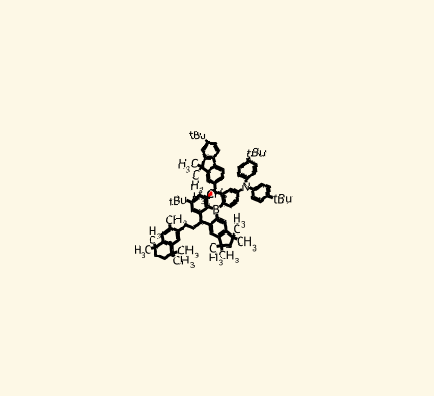 Cc1cc2c(cc1CCC1c3cc4c(cc3B(c3ccc(N(c5ccc(C(C)(C)C)cc5)c5ccc(C(C)(C)C)cc5)cc3C(C)c3ccc5c(c3)C(C)(C)c3cc(C(C)(C)C)ccc3-5)c3c(C)cc(C(C)(C)C)cc31)C(C)(C)CC4(C)C)C(C)(C)CCC2(C)C